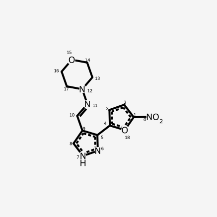 O=[N+]([O-])c1ccc(-c2n[nH]cc2/C=N/N2CCOCC2)o1